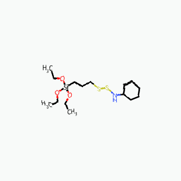 CCO[Si](CCCSSNC1CCCCC1)(OCC)OCC